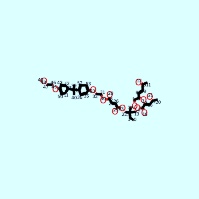 CCC(COCC(=O)/C=C/C(C)=O)(COC(=O)/C=C/C(C)=O)COC(=O)/C=C/C(=O)OCCOc1ccc(C(C)(C)c2ccc(OCCOC)cc2)cc1